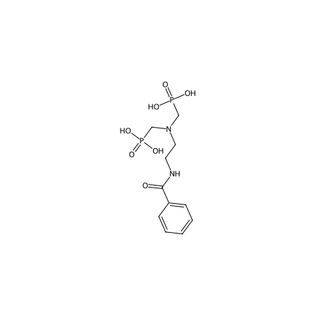 O=C(NCCN(CP(=O)(O)O)CP(=O)(O)O)c1ccccc1